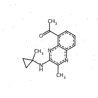 CC(=O)c1cccc2nc(C)c(NC3(C)CC3)nc12